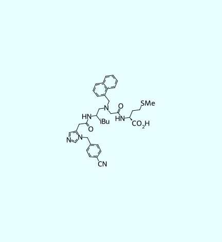 CCC(C)C(CN(CC(=O)N[C@@H](CCSC)C(=O)O)Cc1cccc2ccccc12)NC(=O)Cc1cncn1Cc1ccc(C#N)cc1